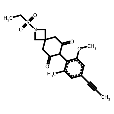 CC#Cc1cc(C)c(C2C(=O)CC3(CC2=O)CN(S(=O)(=O)CC)C3)c(OC)c1